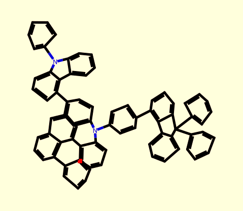 c1ccc(-c2cccc3cccc(-c4ccccc4N(c4ccc(-c5cccc6c5-c5ccccc5C6(c5ccccc5)c5ccccc5)cc4)c4ccc(-c5cccc6c5c5ccccc5n6-c5ccccc5)cc4)c23)cc1